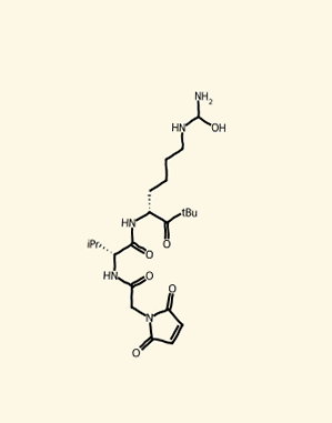 CC(C)[C@@H](NC(=O)CN1C(=O)C=CC1=O)C(=O)N[C@H](CCCCNC(N)O)C(=O)C(C)(C)C